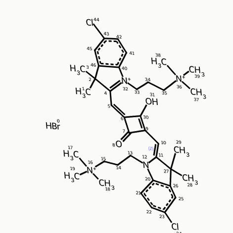 Br.CC1(C)C(C=C2C(=O)C(/C=C3\N(CCC[N+](C)(C)C)c4ccc(Cl)cc4C3(C)C)=C2O)=[N+](CCC[N+](C)(C)C)c2ccc(Cl)cc21